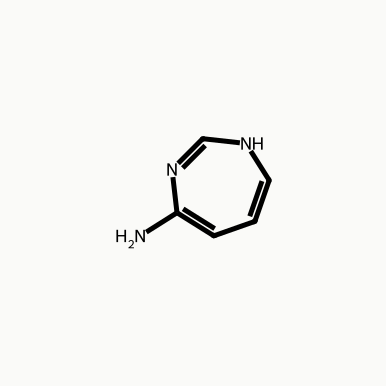 NC1=CC=CNC=N1